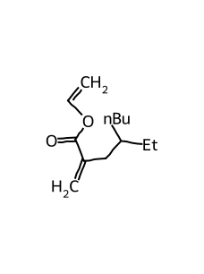 C=COC(=O)C(=C)CC(CC)CCCC